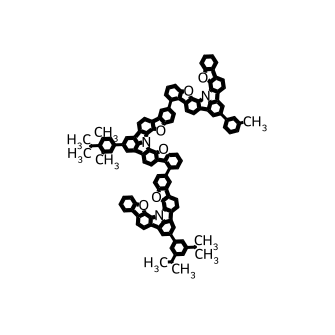 Cc1cccc(-c2cc3c4ccc5c6ccccc6oc5c4n4c3c(c2)c2ccc3c(oc5cccc(-c6ccc7oc8c(ccc9c%10cc(-c%11cc(C)c(C(C)C)c(C)c%11)cc%11c%12ccc%13c(oc%14cccc(-c%15ccc%16oc%17c(ccc%18c%19cc(-c%20cc(C(C)C)cc(C(C)C)c%20)cc%20c%21ccc%22c%23ccccc%23oc%22c%21n(c%20%19)c%18%17)c%16c%15)c%14%13)c%12n(c%10%11)c98)c7c6)c53)c24)c1